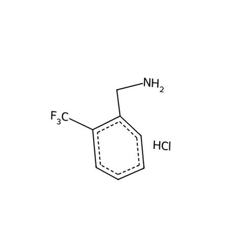 Cl.NCc1ccccc1C(F)(F)F